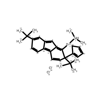 C[SiH](C)[Zr+2][C]1=C2C=c3cc(C(C)(C)C)ccc3=C2C=CC1(C1=CC=CC1)C(C)(C)C.[Cl-].[Cl-]